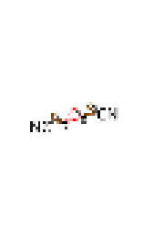 N#CSCOCSC#N